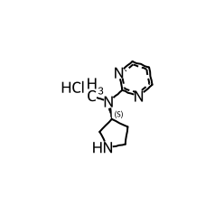 CN(c1ncccn1)[C@H]1CCNC1.Cl